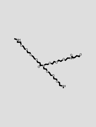 CNCCOCCOCCOCCOCCC(=O)N(CCOCCOCCOCCNC)CCOCCOCCOCCNC(=O)CCC=O